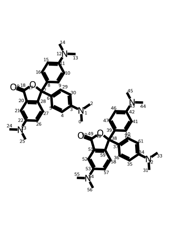 CN(C)c1ccc(C2(c3ccc(N(C)C)cc3)OC(=O)c3cc(N(C)C)ccc32)cc1.CN(C)c1ccc(C2(c3ccc(N(C)C)cc3)OC(=O)c3cc(N(C)C)ccc32)cc1